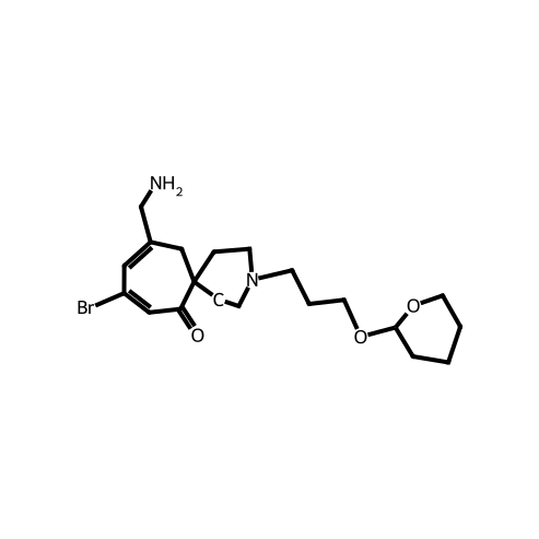 NCC1=CC(Br)=CC(=O)C2(CCN(CCCOC3CCCCO3)CC2)C1